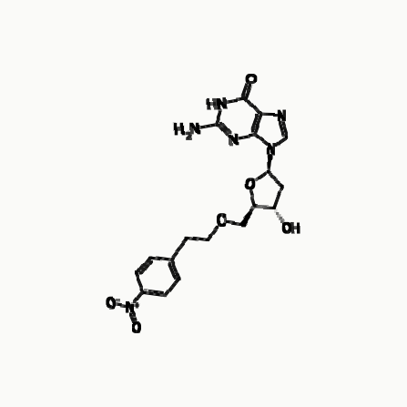 Nc1nc2c(ncn2[C@H]2C[C@H](O)[C@@H](COCCc3ccc([N+](=O)[O-])cc3)O2)c(=O)[nH]1